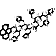 N[C@@H](Cc1c[nH]cn1)C(=O)N[C@@H](Cc1c[nH]cn1)C(=O)N[C@@H](Cc1c[nH]cn1)C(=O)N[C@@H](CC1=CCC=N1)C(=O)N[C@@H](Cc1c[nH]cn1)C(=O)N[C@@H](Cc1c[nH]cn1)C(=O)NCc1cc2cccc3ccc4cccc1c4c32